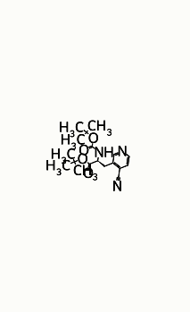 CC(C)(C)OC(=O)N[C@@H](Cc1cnccc1C#N)C(=O)OC(C)(C)C